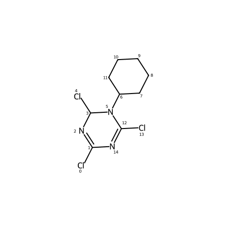 ClC1=NC(Cl)N(C2CCCCC2)C(Cl)=N1